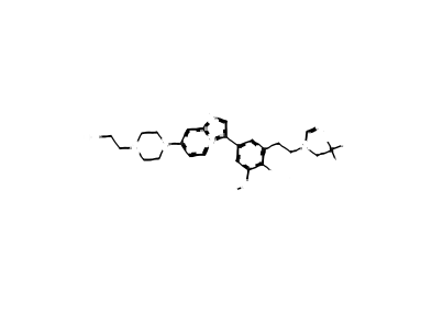 COc1cc(-c2cnc3cc(N4CCN(CCO)CC4)ccn23)cc(CCN(C=O)CC(F)(F)F)c1C